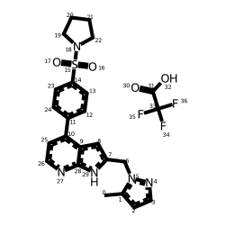 Cc1ccnn1Cc1cc2c(-c3ccc(S(=O)(=O)N4CCCC4)cc3)ccnc2[nH]1.O=C(O)C(F)(F)F